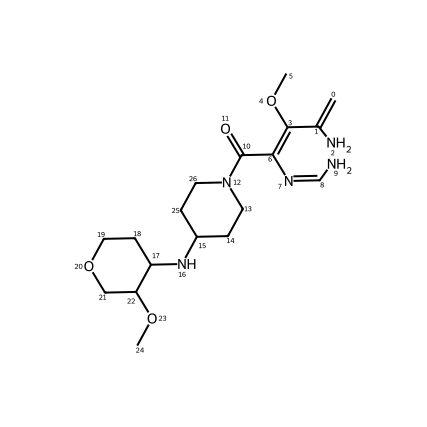 C=C(N)/C(OC)=C(\N=C/N)C(=O)N1CCC(NC2CCOCC2OC)CC1